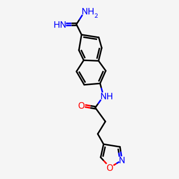 N=C(N)c1ccc2cc(NC(=O)CCc3cnoc3)ccc2c1